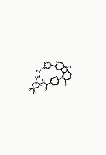 Cn1cc(-c2cc3c(cn2)[nH]c2ncc(F)c(-c4ccc(C(=O)N[C@H]5CS(=O)(=O)C[C@H]5O)cc4)c23)cn1